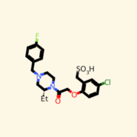 CC[C@@H]1CN(Cc2ccc(F)cc2)CCN1C(=O)COc1ccc(Cl)cc1CS(=O)(=O)O